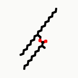 CCCCCCCCCCCC(CCCCCCCCC)COC(=O)C(C)CCCCCCCCCC